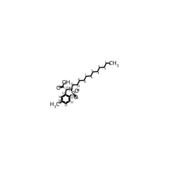 CCCCCCCCCCCCN1[C@@H](C(=O)O)c2cc(C)ccc2S1(=O)=O